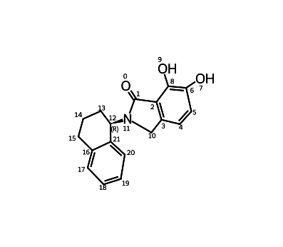 O=C1c2c(ccc(O)c2O)CN1[C@@H]1CCCc2ccccc21